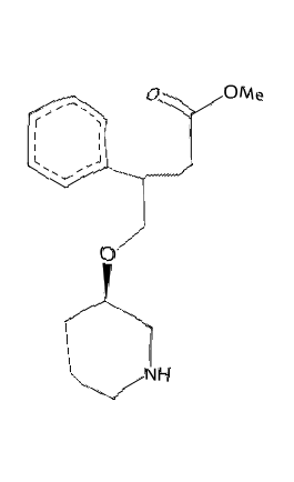 COC(=O)CC(CO[C@@H]1CCCNC1)c1ccccc1